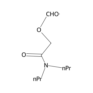 CCCN(CCC)C(=O)CO[C]=O